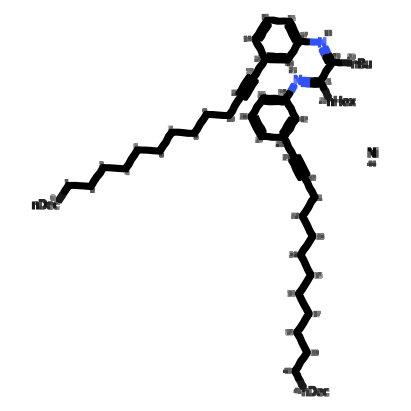 CCCCCCCCCCCCCCCCCCCCC#Cc1cccc(N=C(CCCC)C(CCCCCC)=Nc2cccc(C#CCCCCCCCCCCCCCCCCCCCC)c2)c1.[Ni]